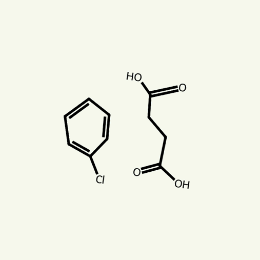 Clc1ccccc1.O=C(O)CCC(=O)O